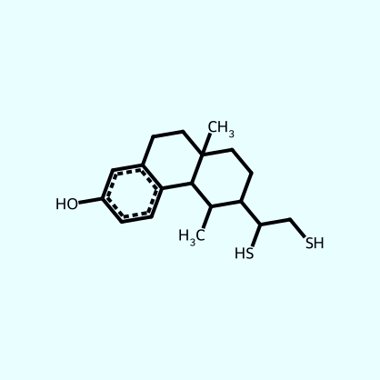 CC1C(C(S)CS)CCC2(C)CCc3cc(O)ccc3C12